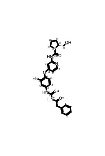 O=C(Cc1ccccc1)NC(=S)Nc1ccc(Oc2ccnc(NC(=O)N3CCC[C@@H]3CO)c2)c(F)c1